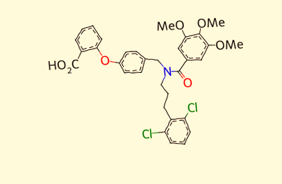 COc1cc(C(=O)N(CCCc2c(Cl)cccc2Cl)Cc2ccc(Oc3ccccc3C(=O)O)cc2)cc(OC)c1OC